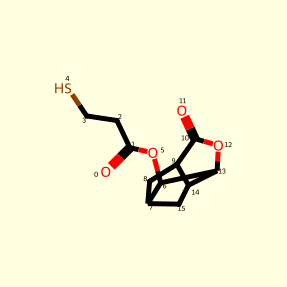 O=C(CCS)OC1C2CC3C(=O)OC1C3C2